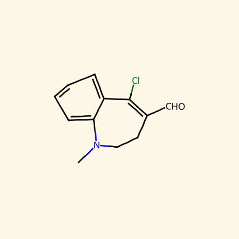 CN1CCC(C=O)=C(Cl)c2ccccc21